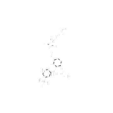 CC(C)OCCNS(=O)(=O)CCCc1ccc(OC(C)C)cc1Oc1ncc(C(F)(F)F)cc1Cl